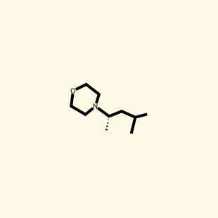 CC(C)C[C@H](C)N1CCOCC1